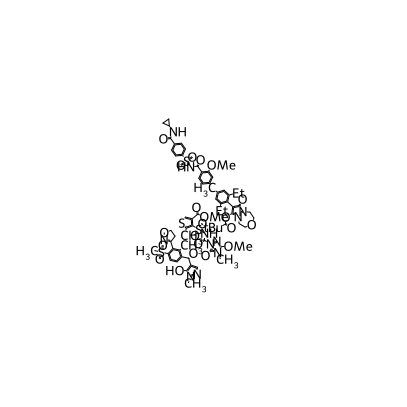 CCc1cc(C)cc(CC)c1-c1c(OC(=O)C(C)(C)C)n2n(c1=O)CCOCC2.COC(=O)c1csc(C)c1S(=O)(=O)NC(=O)n1nc(OC)n(C)c1=O.COc1ccccc1C(=O)NS(=O)(=O)c1ccc(C(=O)NC2CC2)cc1.Cc1c(C(=O)c2cnn(C)c2O)ccc(S(C)(=O)=O)c1C1=NOCC1